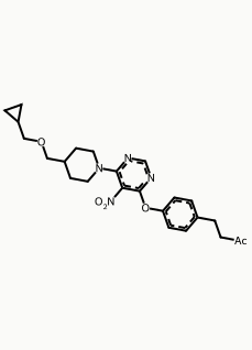 CC(=O)CCc1ccc(Oc2ncnc(N3CCC(COCC4CC4)CC3)c2[N+](=O)[O-])cc1